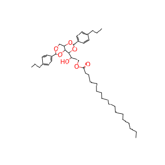 CCCCCCCCCCCCCCCCCC(=O)OCC(O)C1OC(c2ccc(CCC)cc2)OC2COC(c3ccc(CCC)cc3)OC21